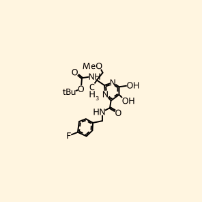 COCC(C)(NC(=O)OC(C)(C)C)c1nc(O)c(O)c(C(=O)NCc2ccc(F)cc2)n1